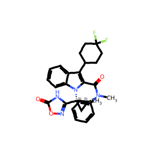 C[C@H]1C[C@]1(c1noc(=O)[nH]1)n1c(C(=O)N(C)c2ccccc2)c(C2CCC(F)(F)CC2)c2ccccc21